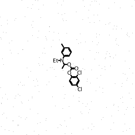 CCN(c1cccc(C)c1)C(C)OC(=O)Oc1ccc(Cl)cc1Cl